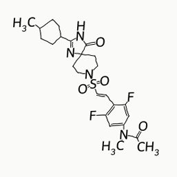 CC(=O)N(C)c1cc(F)c(/C=C/S(=O)(=O)N2CCC3(CC2)N=C(C2CCC(C)CC2)NC3=O)c(F)c1